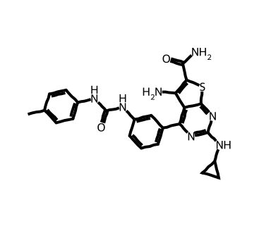 Cc1ccc(NC(=O)Nc2cccc(-c3nc(NC4CC4)nc4sc(C(N)=O)c(N)c34)c2)cc1